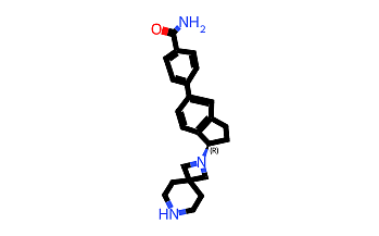 NC(=O)c1ccc(-c2ccc3c(c2)CC[C@H]3N2CC3(CCNCC3)C2)cc1